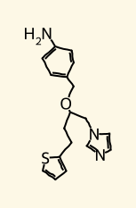 Nc1ccc(COC(CCc2cccs2)Cn2ccnc2)cc1